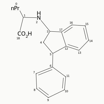 CCCC(NC1CC(c2ccccc2)c2ccccc21)C(=O)O